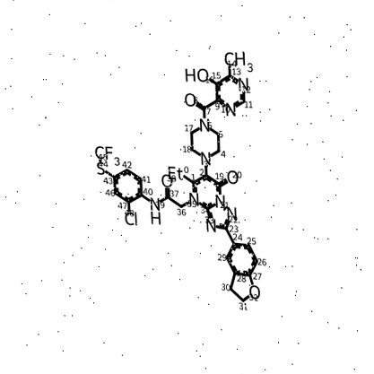 CCc1c(N2CCN(C(=O)c3ncnc(C)c3O)CC2)c(=O)n2nc(-c3ccc4c(c3)CCO4)nc2n1CC(=O)Nc1ccc(SC(F)(F)F)cc1Cl